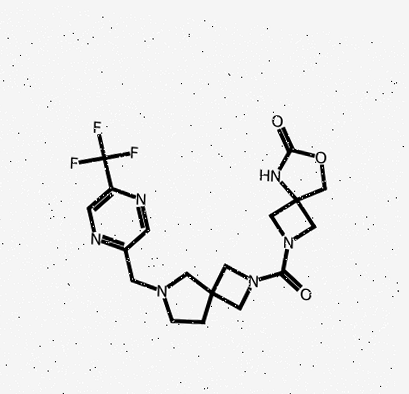 O=C1NC2(CO1)CN(C(=O)N1CC3(CCN(Cc4cnc(C(F)(F)F)cn4)C3)C1)C2